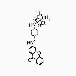 CCC(C)(C)S(=O)(=O)NC1CCC(CNc2ccc3c(=O)c4ccccc4oc3c2)CC1